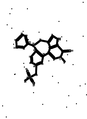 Cn1cc2c3c(c[nH]c3c1=O)CN(c1cccnc1)c1ccc(CS(C)(=O)=O)cc1-2